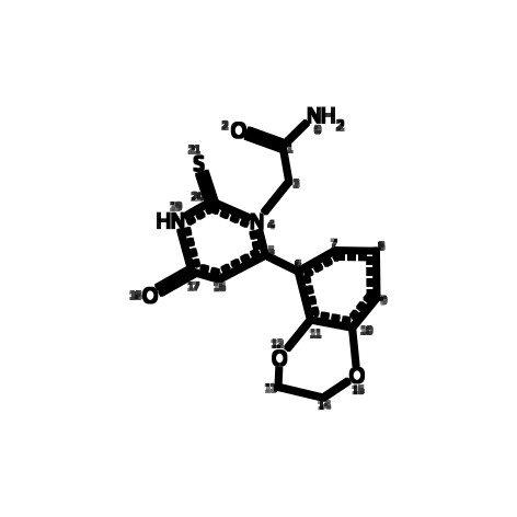 NC(=O)Cn1c(-c2cccc3c2OCCO3)cc(=O)[nH]c1=S